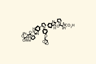 COC(=O)N[C@H](C(=O)N1CCC[C@H]1c1nc2cc([C@H]3CC[C@H](c4ccc5[nH]c([C@@H]6CCCN6C(=O)[C@H](C(C)C)N(C)C(=O)O)nc5c4)N3c3ccc(OCC4COCO4)cc3)ccc2[nH]1)C(C)C